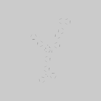 c1ccc(-n2c3ccccc3c3cc(-c4ccc(-c5nc(-c6cccc(-c7ccc8cc(-c9cccc%10ccccc9%10)ccc8c7)c6)nc(-c6ccc7c(c6)sc6ccccc67)n5)cc4)ccc32)cc1